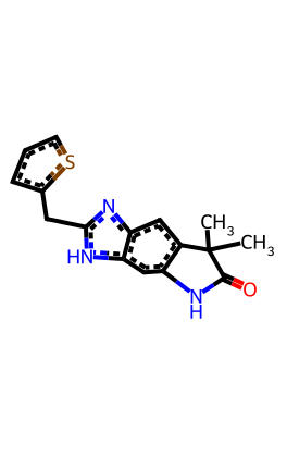 CC1(C)C(=O)Nc2cc3[nH]c(Cc4cccs4)nc3cc21